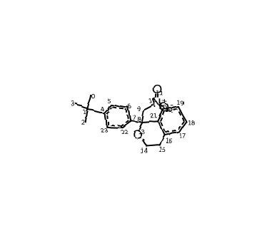 CC(C)(C)c1ccc(C2(C[N+](=O)[O-])OCCc3ccccc32)cc1